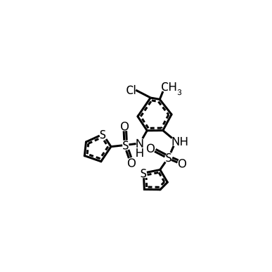 Cc1cc(NS(=O)(=O)c2cccs2)c(NS(=O)(=O)c2cccs2)cc1Cl